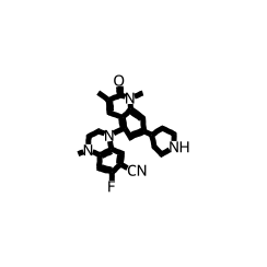 Cc1cc2c(N3CCN(C)c4cc(F)c(C#N)cc43)cc(C3CCNCC3)cc2n(C)c1=O